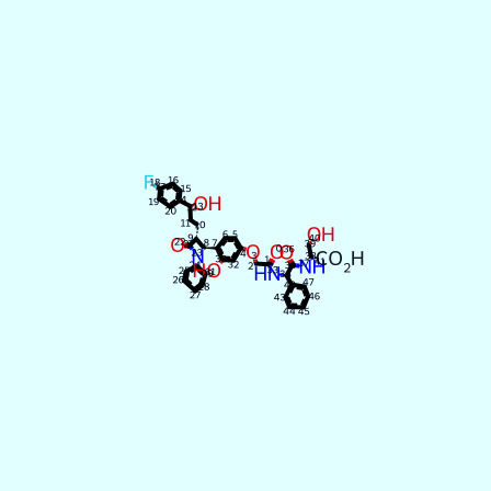 O=C(COc1ccc([C@@H]2[C@@H](CC[C@H](O)c3ccc(F)cc3)C(=O)N2c2ccccc2)c(O)c1)N[C@@H](C(=O)N[C@H](CO)C(=O)O)c1ccccc1